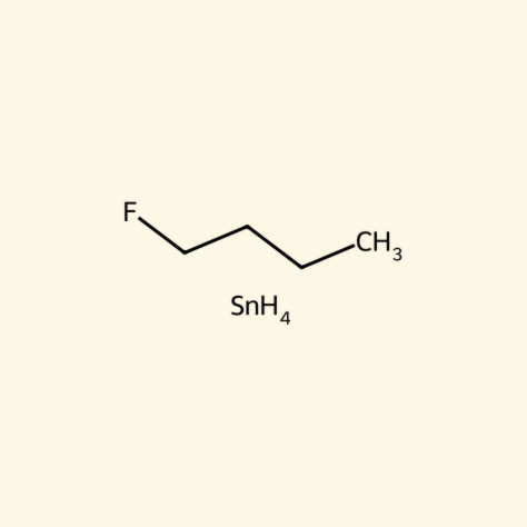 CCCCF.[SnH4]